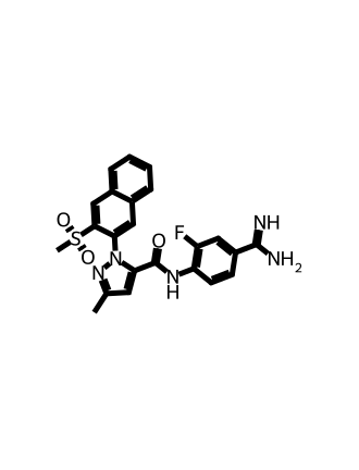 Cc1cc(C(=O)Nc2ccc(C(=N)N)cc2F)n(-c2cc3ccccc3cc2S(C)(=O)=O)n1